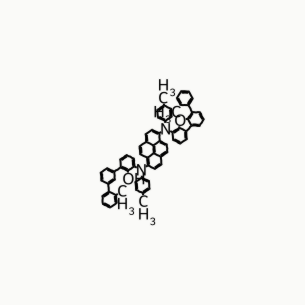 Cc1ccc(N(c2cccc(-c3cccc(-c4ccccc4C)c3)c2O)c2ccc3ccc4c(N(c5ccc(C)cc5)c5cccc6c5oc5c(-c7ccccc7C)cccc56)ccc5ccc2c3c54)cc1